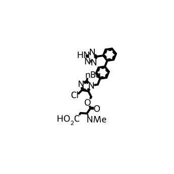 CCCCc1nc(Cl)c(COC(=O)[C@H](CC(=O)O)NC)n1Cc1ccc(-c2ccccc2-c2nn[nH]n2)cc1